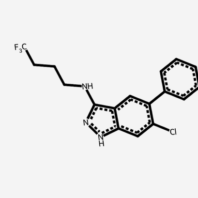 FC(F)(F)CCCNc1n[nH]c2cc(Cl)c(-c3ccccc3)cc12